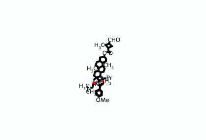 COc1ccc(-c2cnc(C3(CC=O)CCC4C(CCC5C6(C)CCC(OC(=O)C7CC(C=O)C7C)CC6CCC45C)/C3=C(/C)C(C)C)n2CCN(C)C)cc1